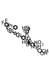 CC(C)c1ccccc1[C@@H]1CN(Cc2ccc(F)c(F)c2)CCN1C1CC2(CCN(c3ccc(C(=O)NS(=O)(=O)c4cnc(NCC5CCC(C)(O)CC5)c([N+](=O)[O-])c4)c(Oc4cnc5[nH]ccc5c4)c3)CC2)C1